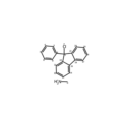 CN.ClC1(c2ccccc2)c2ccccc2-c2ccccc21